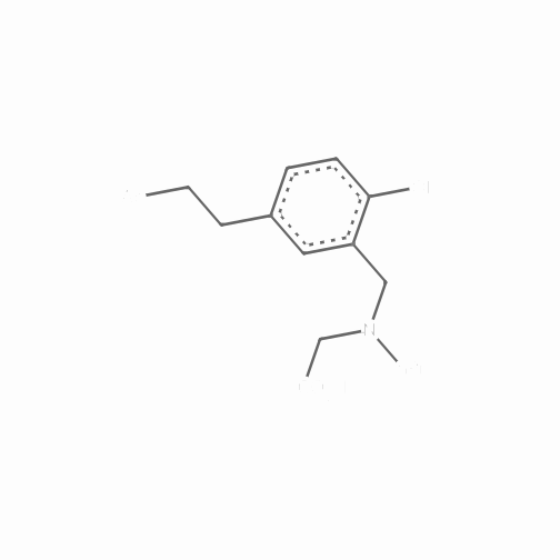 CCCN(CC(=O)O)Cc1cc(CCC(C)=O)ccc1O